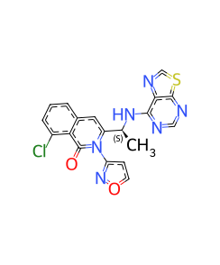 C[C@H](Nc1ncnc2scnc12)c1cc2cccc(Cl)c2c(=O)n1-c1ccon1